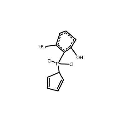 CC(C)(C)c1cccc(O)[c]1[Ti]([Cl])([Cl])[CH]1C=CC=C1